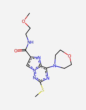 COCCNC(=O)c1cn2nc(SC)nc(N3CCOCC3)c2n1